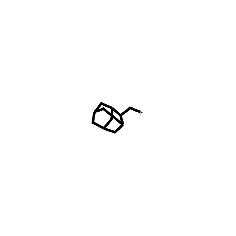 FCC1C2CC3CC(C2)CC1C3